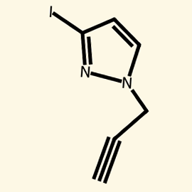 C#CCn1ccc(I)n1